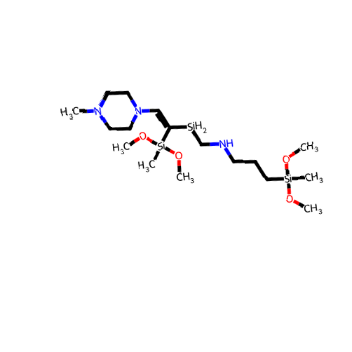 CO[Si](C)(CCCNC[SiH2]C(=CN1CCN(C)CC1)[Si](C)(OC)OC)OC